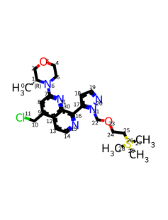 C[C@@H]1COCCN1c1cc(CCl)c2ccnc(-c3ccnn3COCCS(C)(C)C)c2n1